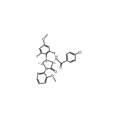 COc1cc(F)c([C@H]2[C@H](NC(=O)c3ccc(Cl)cc3)C(=O)N(c3ncccc3OC)[C@@H]2C)c(F)c1